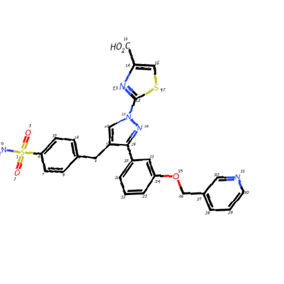 NS(=O)(=O)c1ccc(Cc2cn(-c3nc(C(=O)O)cs3)nc2-c2cccc(OCc3cccnc3)c2)cc1